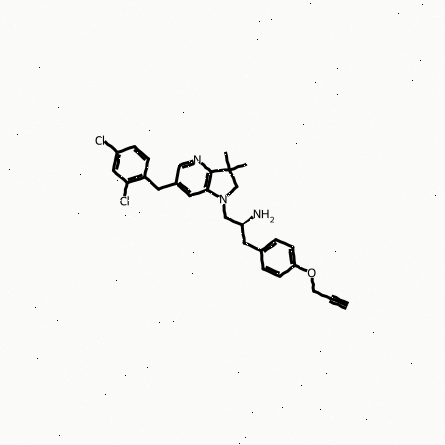 C#CCOc1ccc(C[C@H](N)CN2CC(C)(C)c3ncc(Cc4ccc(Cl)cc4Cl)cc32)cc1